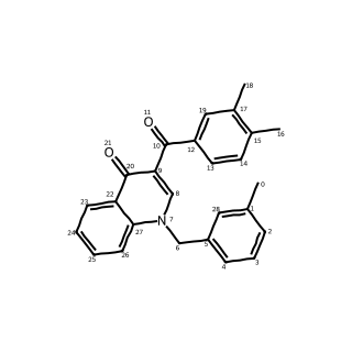 Cc1cccc(Cn2cc(C(=O)c3ccc(C)c(C)c3)c(=O)c3ccccc32)c1